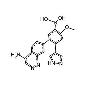 COc1cc(-c2cn[nH]c2)c(-c2ccc3c(N)cnnc3c2)cc1B(O)O